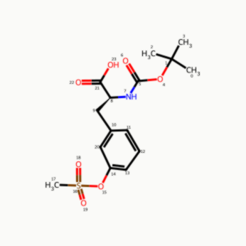 CC(C)(C)OC(=O)N[C@@H](Cc1cccc(OS(C)(=O)=O)c1)C(=O)O